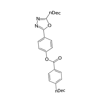 CCCCCCCCCCc1ccc(C(=O)Oc2ccc(-c3nnc(CCCCCCCCCC)o3)cc2)cc1